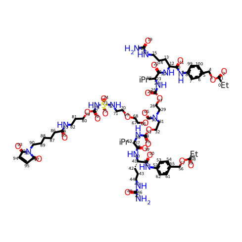 CCC(=O)OCc1ccc(NC(=O)C(CCCNC(N)=O)NC(=O)C(NC(=O)OCCN(CCOC(=O)N[C@H](C(=O)N[C@@H](CCCNC(N)=O)C(=O)Nc2ccc(COC(=O)CC)cc2)C(C)C)C(=O)OCCOCCNS(=O)(=O)NC(=O)OCCCNC(=O)CCCCCN2C(=O)C=CC2=O)C(C)C)cc1